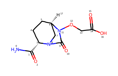 NC(=O)[C@@H]1CC[C@@H]2CN1C(=O)N2OCC(=O)O